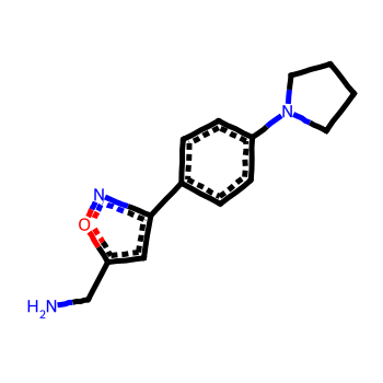 NCc1cc(-c2ccc(N3CCCC3)cc2)no1